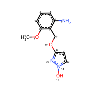 COc1cccc(N)c1COc1ccn(O)n1